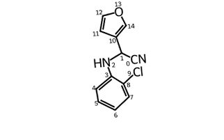 N#CC(Nc1ccccc1Cl)c1ccoc1